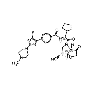 C#C[C@@H]1CN(C(=O)[C@@H](NC(=O)c2ccc(-c3nc(N4CCN(C)CC4)sc3F)cc2)C2CCCC2)[C@@H]2C(=O)CO[C@H]12